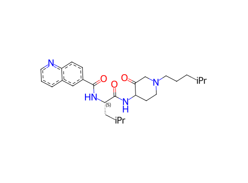 CC(C)CCCN1CCC(NC(=O)[C@H](CC(C)C)NC(=O)c2ccc3ncccc3c2)C(=O)C1